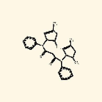 O=C(CC(=O)N(c1ccccc1)C1C=C(C(F)(F)F)CC1C(F)(F)F)N(c1ccccc1)C1C=C(C(F)(F)F)CC1C(F)(F)F